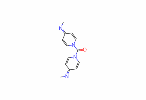 CN=c1ccn(C(=O)n2ccc(=NC)cc2)cc1